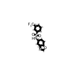 O=S(=O)(Nc1ccc2ocnc2c1)c1cccc(C(F)(F)F)c1